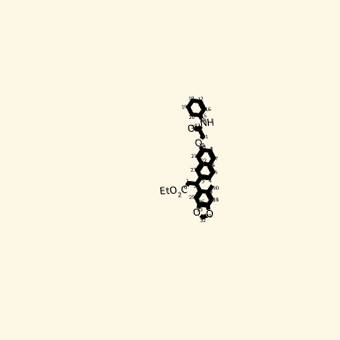 CCOC(=O)CC(c1ccc2ccc(OCC(=O)NC3C=CCCC3)cc2c1)c1cc2c(cc1C)OCO2